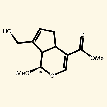 COC(=O)C1=CO[C@@H](OC)C2C(CO)=CCC12